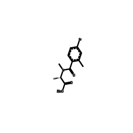 COC(=O)[C@H](C)N(C)C(=O)c1ccc(Br)cc1C